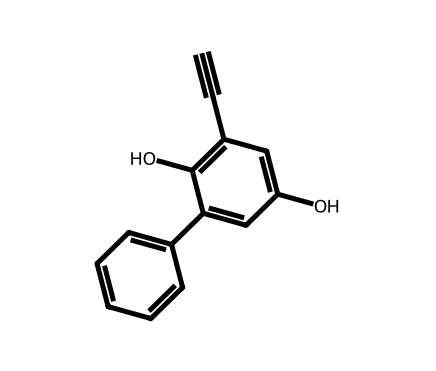 C#Cc1cc(O)cc(-c2ccccc2)c1O